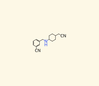 N#CCC1CCC(NCc2cccc(C#N)c2)CC1